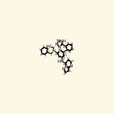 CC(C)CN(Cc1ccccc1)c1cc(Nc2ccnc3ccnn23)cc(-c2ccccc2-c2nnn[nH]2)n1